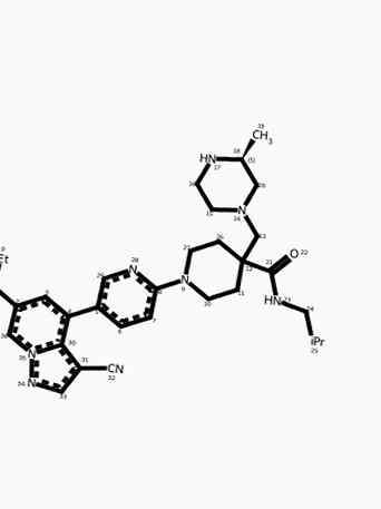 CCOc1cc(-c2ccc(N3CCC(CN4CCN[C@@H](C)C4)(C(=O)NCC(C)C)CC3)nc2)c2c(C#N)cnn2c1